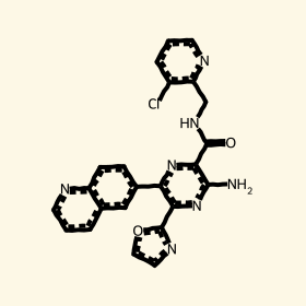 Nc1nc(-c2ncco2)c(-c2ccc3ncccc3c2)nc1C(=O)NCc1ncccc1Cl